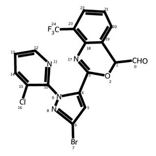 O=CC1OC(c2cc(Br)nn2-c2ncccc2Cl)=Nc2c1cccc2C(F)(F)F